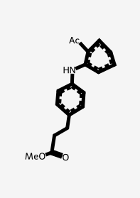 COC(=O)CCc1ccc(Nc2ccccc2C(C)=O)cc1